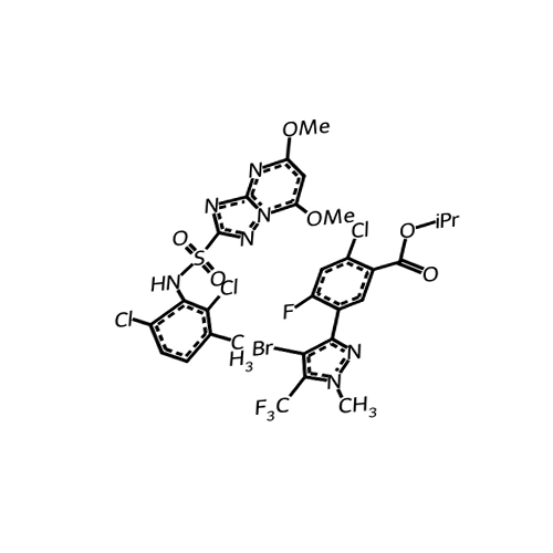 CC(C)OC(=O)c1cc(-c2nn(C)c(C(F)(F)F)c2Br)c(F)cc1Cl.COc1cc(OC)n2nc(S(=O)(=O)Nc3c(Cl)ccc(C)c3Cl)nc2n1